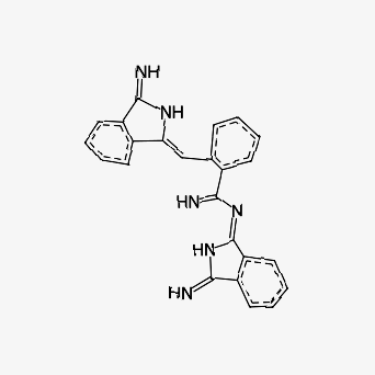 N=C(/N=C1\NC(=N)c2ccccc21)c1ccccc1/C=C1\NC(=N)c2ccccc21